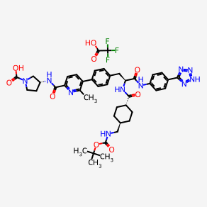 Cc1nc(C(=O)N[C@@H]2CCN(C(=O)O)C2)ccc1-c1ccc(C[C@H](NC(=O)[C@H]2CC[C@H](CNC(=O)OC(C)(C)C)CC2)C(=O)Nc2ccc(-c3nn[nH]n3)cc2)cc1.O=C(O)C(F)(F)F